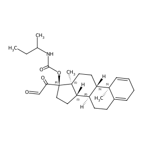 CCC(C)NC(=O)O[C@]1(C(=O)C=O)CC[C@H]2[C@@H]3CCC4=CCC=C[C@]4(C)[C@H]3CC[C@@]21C